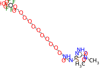 CCCN(OCC)C(=O)C1=Cc2sc(CN3CC(C(=O)NCCOCCOCCOCCOCCOCCOCCOCCOCCOCCOCCC(=O)Oc4c(F)c(F)c(S(=O)(=O)O)c(F)c4F)C3)cc2N=C(N)C1